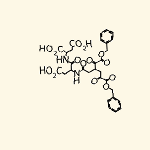 O=C(O)CC(NC(=O)C(CC(=O)O)NC(=O)CC(CC(=O)C(=O)OCc1ccccc1)C(=O)C(=O)OCc1ccccc1)C(=O)O